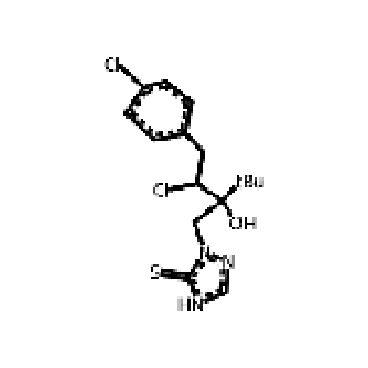 CC(C)(C)C(O)(Cn1nc[nH]c1=S)C(Cl)Cc1ccc(Cl)cc1